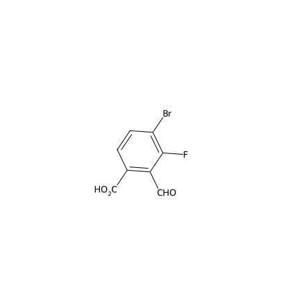 O=Cc1c(C(=O)O)ccc(Br)c1F